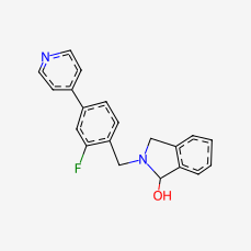 OC1c2ccccc2CN1Cc1ccc(-c2ccncc2)cc1F